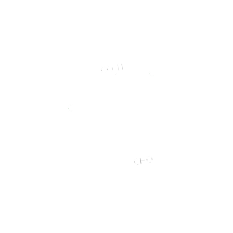 O=Cc1cc(Cl)c(C(=O)O)c(Cl)c1